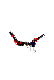 CCCCCCCCCCCOCOC1CCC(C)[SiH2]N(CCCSSSSCCCN2CCC(OCOCCCCCCCCCCC)CCC(C)[SiH2]2)CC1